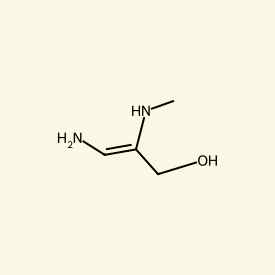 CN/C(=C\N)CO